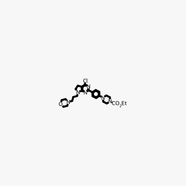 CCOC(=O)N1CCN(c2ccc(-c3nc(Cl)c4c(n3)N(CCCN3CCOCC3)CC4)cc2)CC1